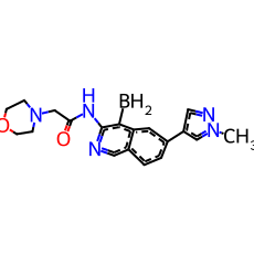 Bc1c(NC(=O)CN2CCOCC2)ncc2ccc(-c3cnn(C)c3)cc12